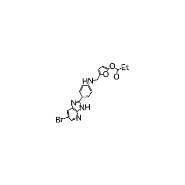 CCC(=O)Oc1ccc(CNc2ccc(-c3nc4cc(Br)cnc4[nH]3)cc2)o1